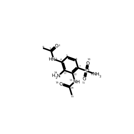 CC(=O)Nc1ccc(S(N)(=O)=O)c(NC(C)=O)c1N